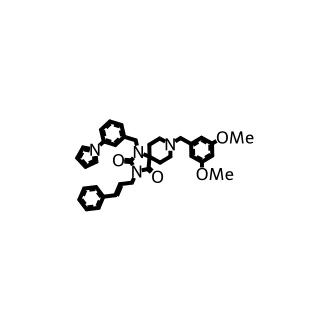 COc1cc(CN2CCC3(CC2)C(=O)N(C/C=C/c2ccccc2)C(=O)N3Cc2cccc(-n3cccc3)c2)cc(OC)c1